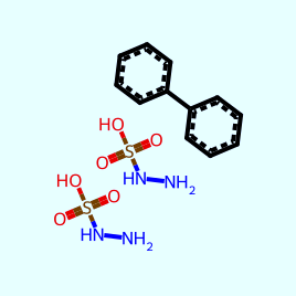 NNS(=O)(=O)O.NNS(=O)(=O)O.c1ccc(-c2ccccc2)cc1